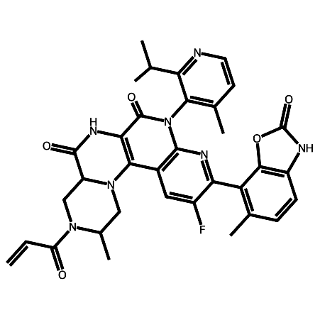 C=CC(=O)N1CC2C(=O)Nc3c(c4cc(F)c(-c5c(C)ccc6[nH]c(=O)oc56)nc4n(-c4c(C)ccnc4C(C)C)c3=O)N2CC1C